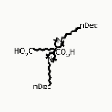 CCCCCCCCCCCCCCCCCCN1C(C)(C)CC(C(CCCCCCCC(=O)O)(C(=O)O)C2CC(C)(C)N(CCCCCCCCCCCCCCCCCC)C(C)(C)C2)CC1(C)C